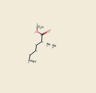 CCCCCCCCCCCC(=O)OS(=O)(=O)O.[Na].[Na]